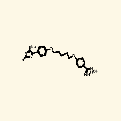 CCCCc1sc(C)nc1-c1ccc(OCCCCCOc2ccc(C(=N)NO)cc2)cc1